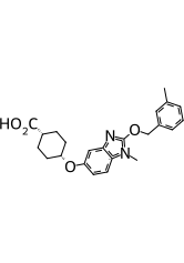 Cc1cccc(COc2nc3cc(O[C@H]4CC[C@@H](C(=O)O)CC4)ccc3n2C)c1